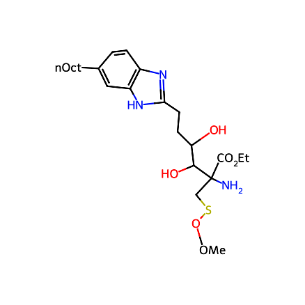 CCCCCCCCc1ccc2nc(CCC(O)C(O)C(N)(CSOOC)C(=O)OCC)[nH]c2c1